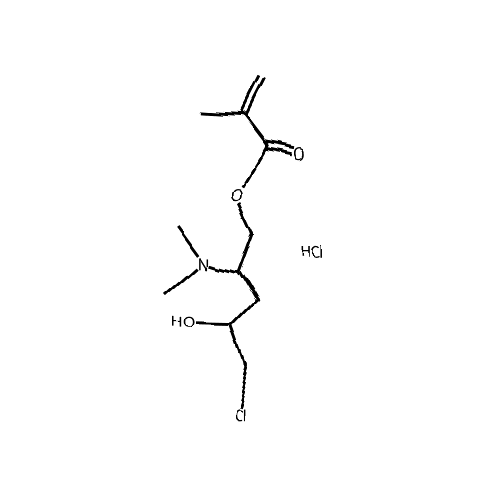 C=C(C)C(=O)OCC(CC(O)CCl)N(C)C.Cl